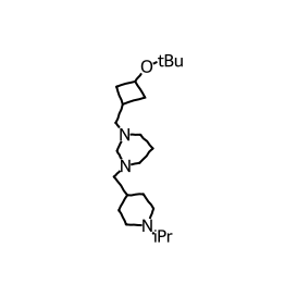 CC(C)N1CCC(CN2CCCN(CC3CC(OC(C)(C)C)C3)C2)CC1